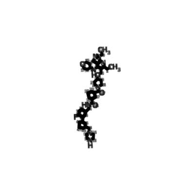 CCc1nc2c(cnn2CC)c(NC2CCOCC2)c1COC1CCN(C(=O)c2cccc(C(=O)NCc3ccc(F)c(-c4cccc(CN5CCNCC5)c4)c3)c2)CC1